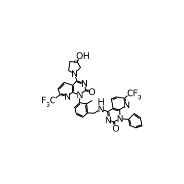 Cc1c(CNc2nc(=O)n(-c3ccccc3)c3nc(C(F)(F)F)ccc23)cccc1-n1c(=O)nc(N2CC[C@@H](O)C2)c2ccc(C(F)(F)F)nc21